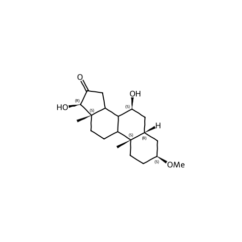 CO[C@H]1CC[C@]2(C)C3CC[C@@]4(C)C(CC(=O)[C@@H]4O)C3[C@@H](O)C[C@@H]2C1